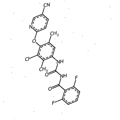 Cc1cc(NC(=O)NC(=O)c2c(F)cccc2F)c(C)c(Cl)c1Oc1ccc(C#N)cn1